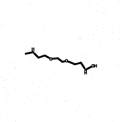 CNCCOCCOCCNO